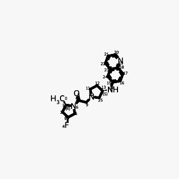 C[C@@H]1C[C@H](F)CN1C(=O)CN1CC[C@H](Nc2ccc3ncccc3c2)C1